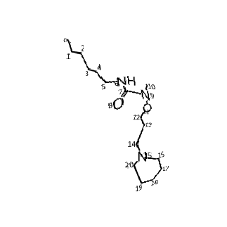 CCCCCCNC(=O)N(C)OCCCN1CCCCC1